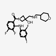 O=C(c1ccc(F)c(F)c1Nc1ccc(I)cc1F)N1CC(O)(CNCC2CCOCC2)C1